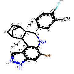 N#Cc1cc([C@@H]2Nc3c(Br)cc4[nH]ncc4c3[C@H]3C4CCC(C4)[C@@H]23)ccc1F